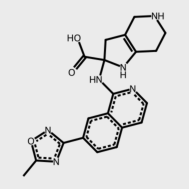 Cc1nc(-c2ccc3ccnc(NC4(C(=O)O)CC5=C(CCNC5)N4)c3c2)no1